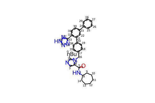 CCCCc1ncc(C(=O)NC2CCCCCC2)n1Cc1ccc(-c2cc(-c3ccccc3)ccc2-c2nn[nH]n2)cc1